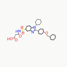 O=C(O)CC(=O)NS(=O)(=O)c1ccc2c(c1)nc(-c1ccc(OCc3ccccc3)cc1)n2C1CCCCC1